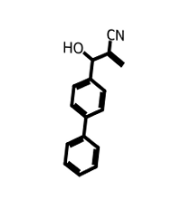 C=C(C#N)C(O)c1ccc(-c2ccccc2)cc1